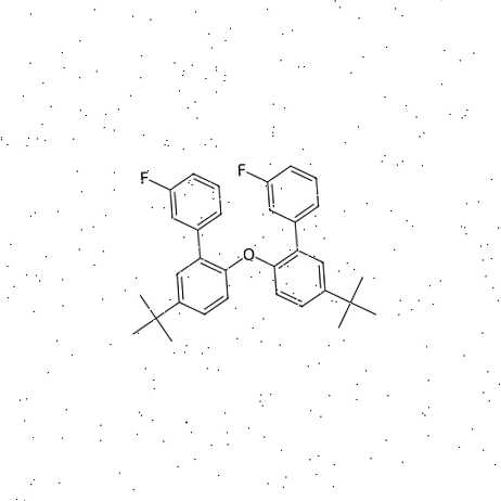 CC(C)(C)c1ccc(Oc2ccc(C(C)(C)C)cc2-c2cccc(F)c2)c(-c2cccc(F)c2)c1